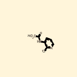 O=C(O)C(=O)Nc1cccnc1Cl